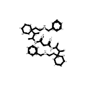 CC(OC(=O)CC(=O)OC(C)C(C)C1(CCOCc2ccccc2)CCCCC1)C(C)C1(CCOCc2ccccc2)CCCCC1